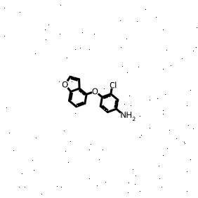 Nc1ccc(Oc2cccc3occc23)c(Cl)c1